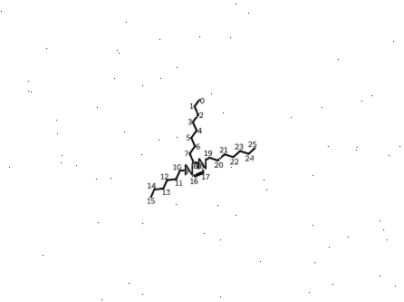 CCCCCCCCC1N(CCCCCC)C=CN1CCCCCCC